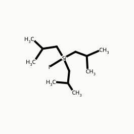 CC(C)C[Si](I)(CC(C)C)CC(C)C